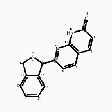 O=c1ccc2ccc(C3NCc4ccccc43)nc2[nH]1